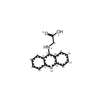 O=C(O)CNc1c2ccccc2nc2ccccc12